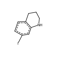 Ic1ccc2c(c1)NCCC2